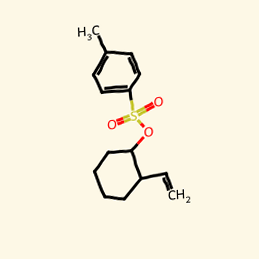 C=CC1CCCCC1OS(=O)(=O)c1ccc(C)cc1